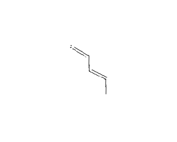 [C]=CC=CC